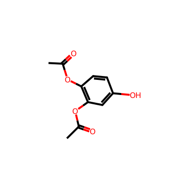 CC(=O)Oc1ccc(O)cc1OC(C)=O